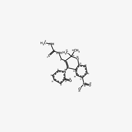 CNC(=S)NCC1=C(n2ccccc2=O)c2cc([N+](=O)[O-])ccc2OC1(C)C